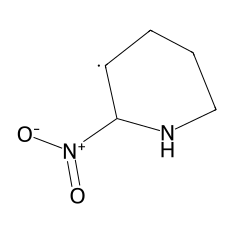 O=[N+]([O-])C1[CH]CCCN1